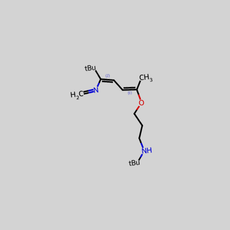 C=N/C(=C\C=C(/C)OCCCNC(C)(C)C)C(C)(C)C